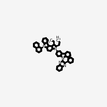 C=Cc1c(/C=C\C)n(-c2ccc3c(c2)c2ccccc2n3-c2nc3ccccc3nc2-c2ccccc2)c2ccc3c(c4ccccc4n3-c3cccc4ccccc34)c12